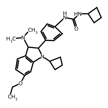 CCOc1ccc2c(c1)N(C1CCC1)C(c1ccc(NC(=O)NC3CCC3)cc1)C2N(C)C